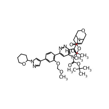 COCOc1cc(-c2cnn(C3CCCCO3)c2)ccc1-c1cc2c(nn1)c(C1=CC3COCC(C1)N3C(=O)OC(C)(C)C)cn2C(=O)OC(C)(C)C